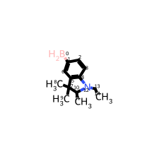 Bc1ccc2c(c1)C(C)(C)C(C)N2CC